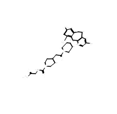 NC(=O)CNC(=O)N1CCC(CC(=O)N2CCC([C@H]3c4ncc(Br)cc4CCc4cc(Cl)cc(Br)c43)CC2)CC1